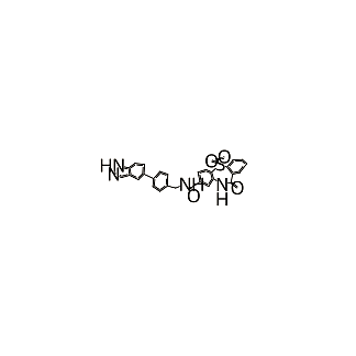 O=C(NCc1ccc(-c2ccc3[nH]ncc3c2)cc1)c1ccc2c(c1)NC(=O)c1ccccc1S2(=O)=O